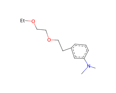 CCOCCOCCc1cccc(N(C)C)c1